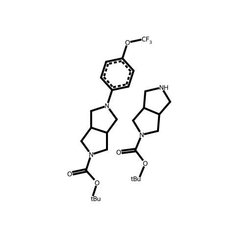 CC(C)(C)OC(=O)N1CC2CN(c3ccc(OC(F)(F)F)cc3)CC2C1.CC(C)(C)OC(=O)N1CC2CNCC2C1